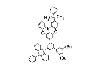 CC(C)(C)c1cc(-c2cc(-c3cc4c5c(c3)Oc3ccc(C(C)(C)c6ccccc6)cc3B5c3ccccc3O4)cc(-c3c4ccccc4c(-c4ccccc4)c4ccccc34)c2)cc(C(C)(C)C)c1